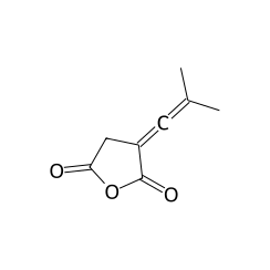 CC(C)=C=C1CC(=O)OC1=O